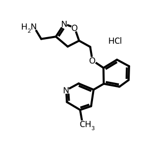 Cc1cncc(-c2ccccc2OCC2CC(CN)=NO2)c1.Cl